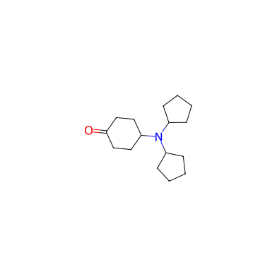 O=C1CCC(N(C2CCCC2)C2CCCC2)CC1